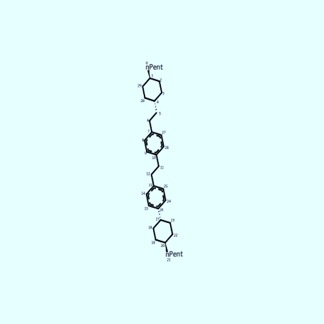 CCCCC[C@H]1CC[C@H](CCc2ccc(CCc3ccc([C@H]4CC[C@H](CCCCC)CC4)cc3)cc2)CC1